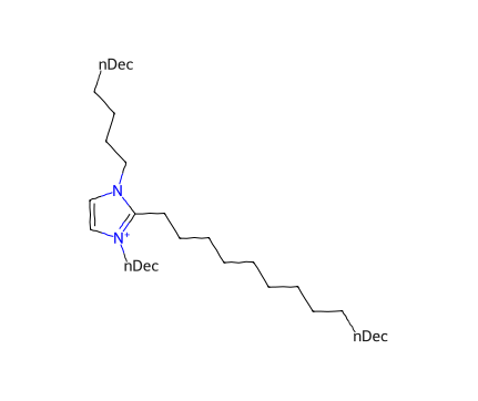 CCCCCCCCCCCCCCCCCCCc1n(CCCCCCCCCCCCCC)cc[n+]1CCCCCCCCCC